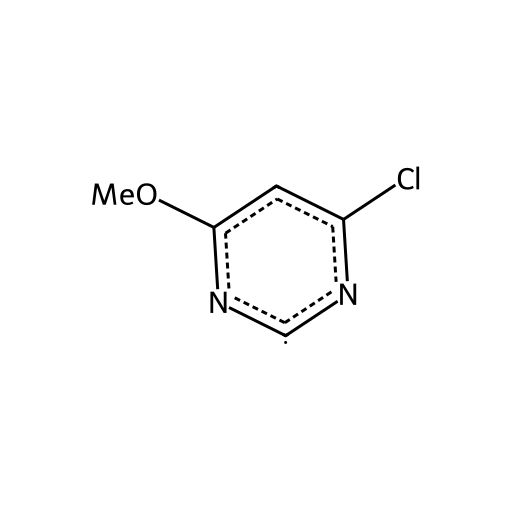 COc1cc(Cl)n[c]n1